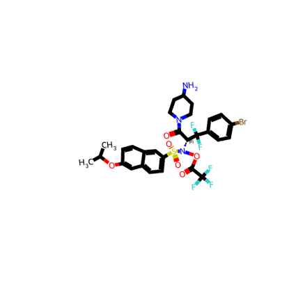 CC(C)Oc1ccc2cc(S(=O)(=O)N(OC(=O)C(F)(F)F)[C@H](C(=O)N3CCC(N)CC3)C(F)(F)c3ccc(Br)cc3)ccc2c1